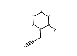 C#CCC1CCCC[C]1C